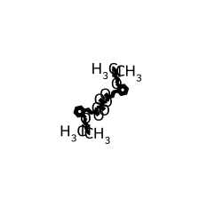 CN(C)CCOc1ccccc1/C=C/C(=O)OC(=O)C(=O)OC(=O)/C=C/c1ccccc1OCCN(C)C